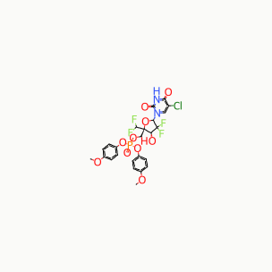 COc1ccc(OP(=O)(OC[C@@]2(C(F)F)O[C@@H](n3cc(Cl)c(=O)[nH]c3=O)C(F)(F)[C@H]2O)Oc2ccc(OC)cc2)cc1